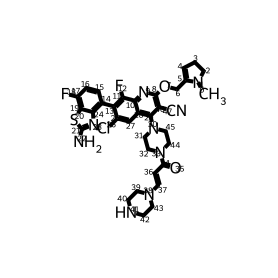 CN1CCC=C1COc1nc2c(F)c(-c3ccc(F)c4sc(N)nc34)c(Cl)cc2c(N2CCN(C(=O)C=CN3CCNCC3)CC2)c1C#N